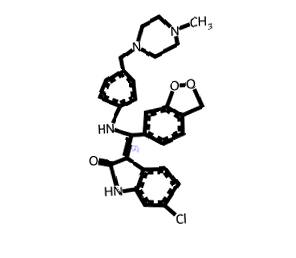 CN1CCN(Cc2ccc(N/C(=C3\C(=O)Nc4cc(Cl)ccc43)c3ccc4c(c3)OOC4)cc2)CC1